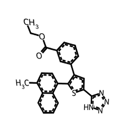 CCOC(=O)c1cccc(-c2cc(-c3nnn[nH]3)sc2-c2ccc(C)c3ccccc23)c1